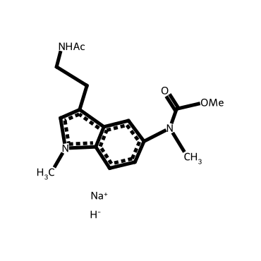 COC(=O)N(C)c1ccc2c(c1)c(CCNC(C)=O)cn2C.[H-].[Na+]